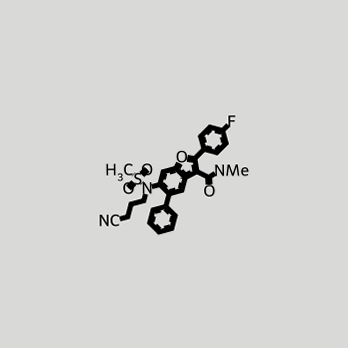 CNC(=O)c1c(-c2ccc(F)cc2)oc2cc(N(CCCC#N)S(C)(=O)=O)c(-c3ccccc3)cc12